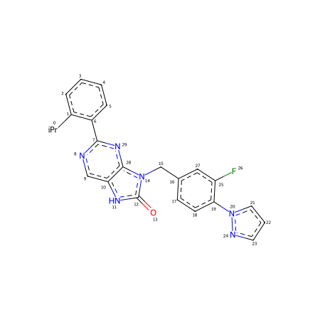 CC(C)c1ccccc1-c1ncc2[nH]c(=O)n(Cc3ccc(-n4cccn4)c(F)c3)c2n1